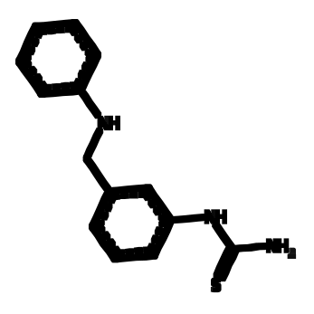 NC(=S)Nc1cccc(CNc2ccccc2)c1